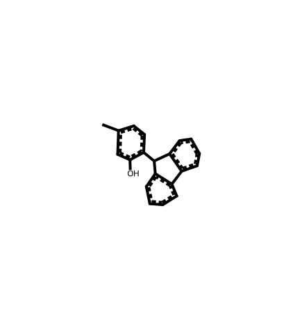 Cc1ccc(C2c3ccccc3-c3ccccc32)c(O)c1